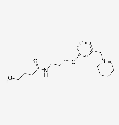 COCCCC(=O)NCCCOc1cccc(CN2CCCCC2)c1